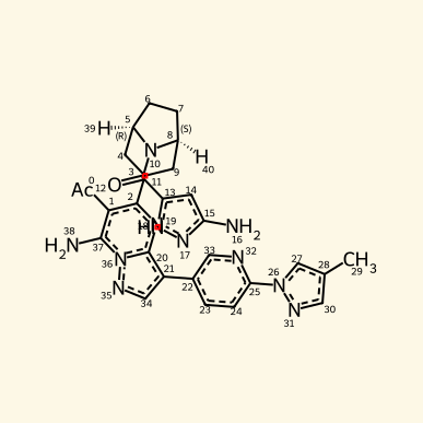 CC(=O)c1c(C2C[C@H]3CC[C@@H](C2)N3C(=O)c2cc(N)n[nH]2)nc2c(-c3ccc(-n4cc(C)cn4)nc3)cnn2c1N